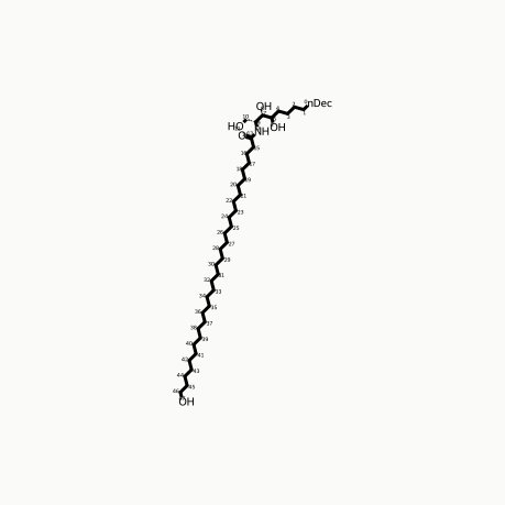 CCCCCCCCCCCCCCC(O)[C@@H](O)[C@@H](CO)NC(=O)CCCCCCCCCCCCCCCCCCCCCCCCCCCCCCCCO